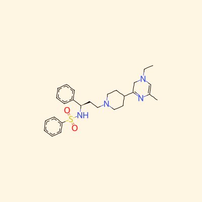 CCN1C=C(C)N=C(C2CCN(CC[C@@H](NS(=O)(=O)c3ccccc3)c3ccccc3)CC2)C1